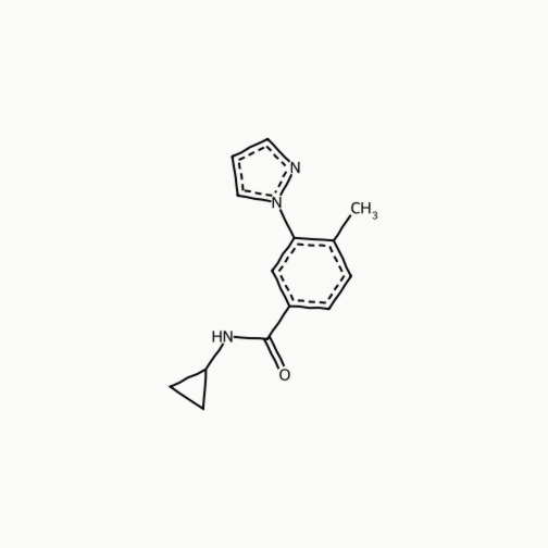 Cc1ccc(C(=O)NC2CC2)cc1-n1cccn1